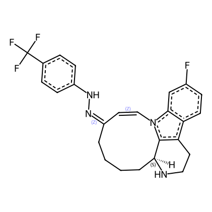 Fc1ccc2c3c4n(c2c1)/C=C\C(=N/Nc1ccc(C(F)(F)F)cc1)CCCC[C@@H]4NCC3